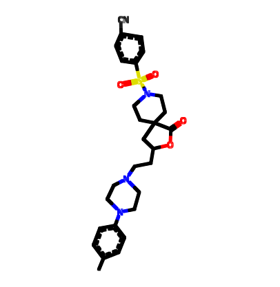 Cc1ccc(N2CCN(CCC3CC4(CCN(S(=O)(=O)c5ccc(C#N)cc5)CC4)C(=O)O3)CC2)cc1